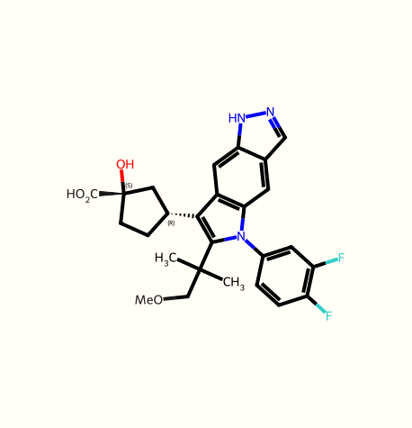 COCC(C)(C)c1c([C@@H]2CC[C@@](O)(C(=O)O)C2)c2cc3[nH]ncc3cc2n1-c1ccc(F)c(F)c1